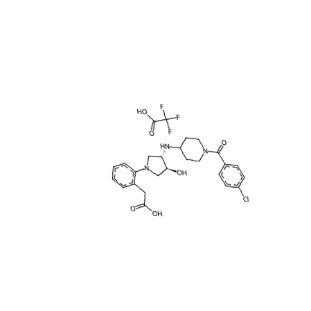 O=C(O)C(F)(F)F.O=C(O)Cc1ccccc1N1C[C@H](NC2CCN(C(=O)c3ccc(Cl)cc3)CC2)[C@@H](O)C1